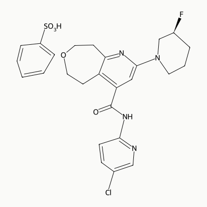 O=C(Nc1ccc(Cl)cn1)c1cc(N2CCC[C@H](F)C2)nc2c1CCOCC2.O=S(=O)(O)c1ccccc1